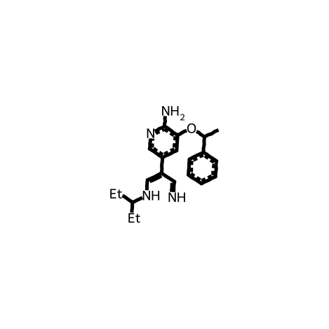 CCC(CC)N/C=C(\C=N)c1cnc(N)c(OC(C)c2ccccc2)c1